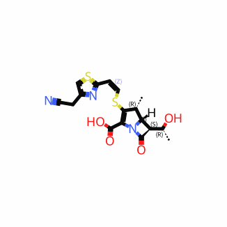 C[C@@H](O)[C@H]1C(=O)N2C(C(=O)O)=C(S/C=C\c3nc(CC#N)cs3)[C@H](C)[C@H]12